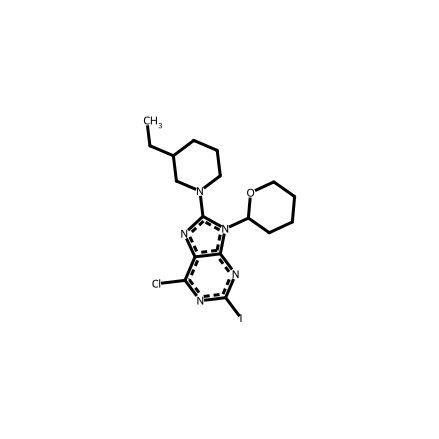 CCC1CCCN(c2nc3c(Cl)nc(I)nc3n2C2CCCCO2)C1